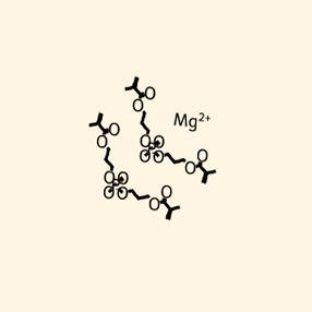 C=C(C)C(=O)OCCCOP(=O)([O-])OCCCOC(=O)C(=C)C.C=C(C)C(=O)OCCCOP(=O)([O-])OCCCOC(=O)C(=C)C.[Mg+2]